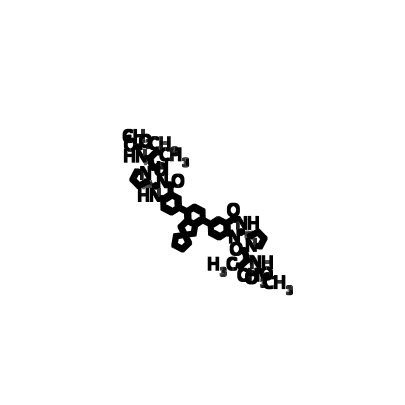 COC(=O)N[C@H](C(=O)N1CCC[C@H]1c1nc2ccc(-c3ccc(-c4ccc5c(c4)C(=O)NC([C@@H]4CCCN4C(=O)[C@@H](NC(=O)OC)C(C)C)N5)c4c3CC3(CCCC3)C4)cc2c(=O)[nH]1)C(C)C